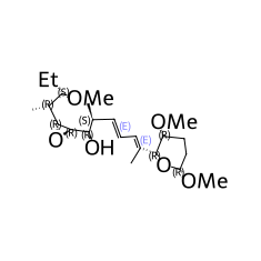 CC[C@H](OC)[C@@H](C)[C@H]1O[C@@H]1[C@H](O)[C@@H](C)/C=C/C=C(\C)[C@H]1O[C@@H](OC)CC[C@H]1OC